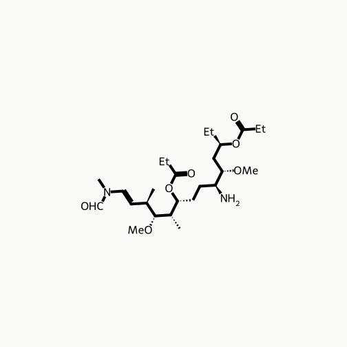 CCC(=O)O[C@H](CC)C[C@H](OC)[C@@H](N)CC[C@@H](OC(=O)CC)[C@H](C)[C@H](OC)[C@H](C)/C=C/N(C)C=O